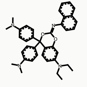 CCN(CC)c1ccc2c(c1)OC(=Nc1cccc3ccccc13)OC2(c1ccc(N(C)C)cc1)c1ccc(N(C)C)cc1